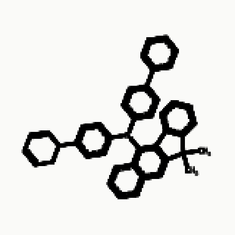 CC1(C)c2ccccc2-c2c1cc1ccccc1c2N(c1ccc(-c2ccccc2)cc1)c1ccc(C2C=CC=CC2)cc1